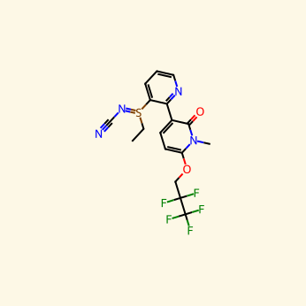 CC/S(=N\C#N)c1cccnc1-c1ccc(OCC(F)(F)C(F)(F)F)n(C)c1=O